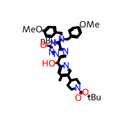 CCCCOc1nc(N(Cc2ccc(OC)cc2)Cc2ccc(OC)cc2)c2ncc(C(O)c3cc(C)c(C4CCN(C(=O)OC(C)(C)C)CC4)cn3)n2n1